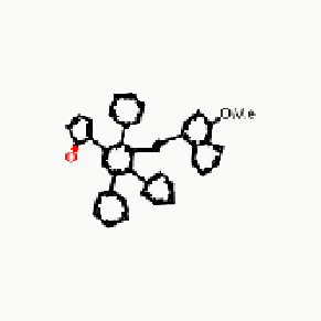 COc1ccc(C#Cc2c(-c3ccccc3)c(C3=CC=CC3=O)cc(-c3ccccc3)c2-c2ccccc2)c2ccccc12